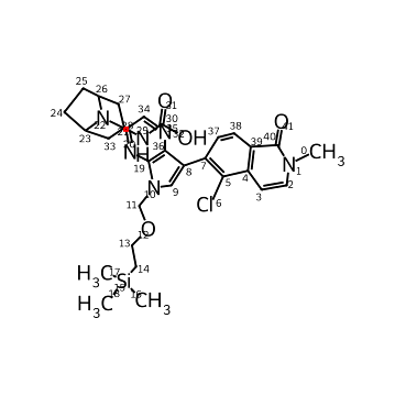 Cn1ccc2c(Cl)c(-c3cn(COCC[Si](C)(C)C)c4nc(N5C6CCC5CC(NC(=O)O)C6)cnc34)ccc2c1=O